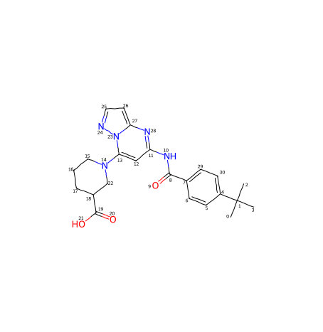 CC(C)(C)c1ccc(C(=O)Nc2cc(N3CCCC(C(=O)O)C3)n3nccc3n2)cc1